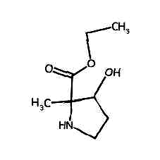 CCOC(=O)C1(C)NCCC1O